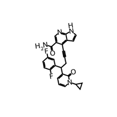 NC(=O)c1cnc2[nH]ccc2c1C#CCC(c1cc(F)ccc1F)c1cccn(C2CC2)c1=O